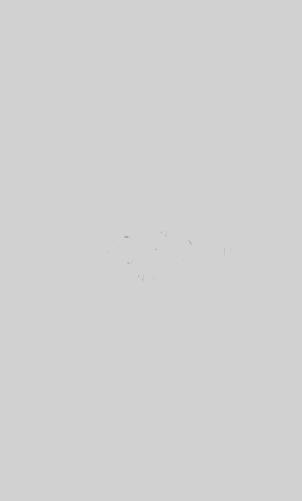 COC(=O)[C@@H]1[C@@H](O)CCN1C(=O)c1cc(OC)c(OC)cc1[N+](=O)[O-]